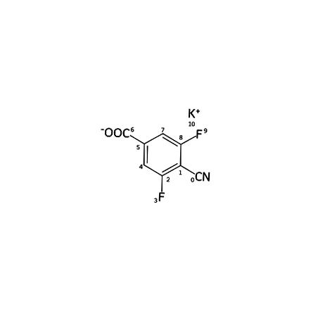 N#Cc1c(F)cc(C(=O)[O-])cc1F.[K+]